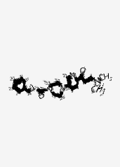 CN(C)C=CC(=O)c1ccc(N2CCN(C(=O)OCc3ccccc3)CC2)cn1